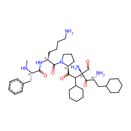 CN[C@@H](Cc1ccccc1)C(=O)N[C@@H](CCCCN)C(=O)N1CCC[C@H]1C(=O)C(C1CCCCC1)[C@](N)([C]=O)C(=O)[C@H](N)CC1CCCCC1